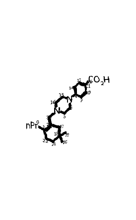 CCCC1=C(CN2CCN(c3ccc(C(=O)O)cc3)CC2)CC(C)(C)CC1